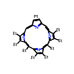 CCC1=C(CC)C2=NC1=CC1=NC(=CC3=NC(=C(CC)C4=NC(=C2CC)C(CC)=C4CC)C(CC)=C3CC)C=C1.[Pt]